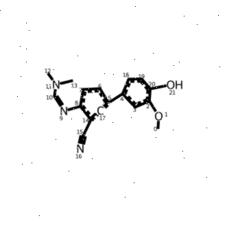 COc1cc(-c2ccc(/N=C\N(C)C)c(C#N)c2)ccc1O